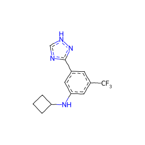 FC(F)(F)c1cc(NC2CCC2)cc(-c2nc[nH]n2)c1